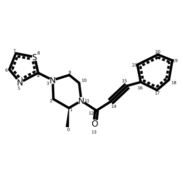 C[C@H]1CN(c2nccs2)CCN1C(=O)C#Cc1ccccc1